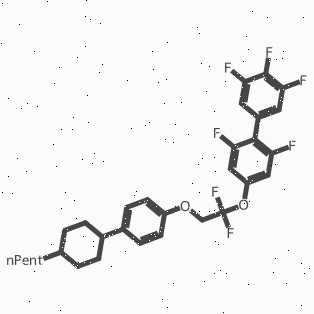 CCCCCC1CCC(c2ccc(OCC(F)(F)Oc3cc(F)c(-c4cc(F)c(F)c(F)c4)c(F)c3)cc2)CC1